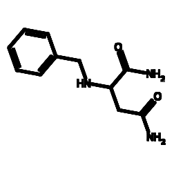 NC(=O)CC(NCc1ccccc1)C(N)=O